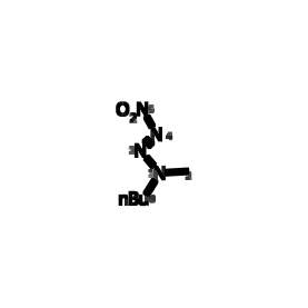 [CH2]CCCN(C)N=N[N+](=O)[O-]